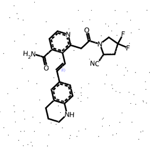 N#CC1CC(F)(F)CN1C(=O)Cc1nccc(C(N)=O)c1/C=C/c1ccc2c(c1)CCCN2